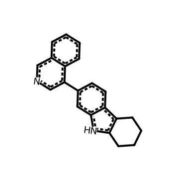 c1ccc2c(-c3ccc4c5c([nH]c4c3)CCCC5)cncc2c1